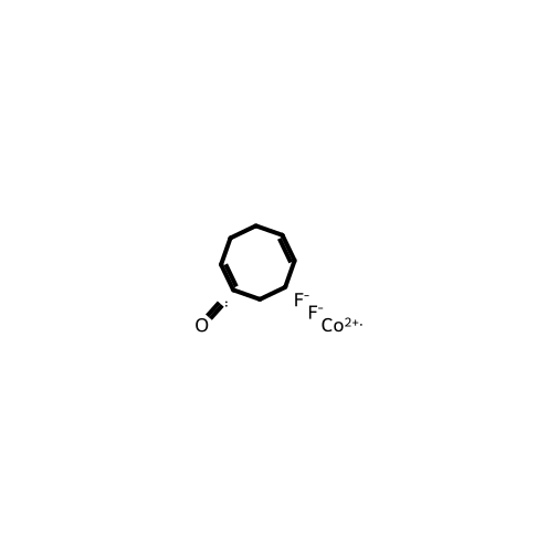 C1=C\CC/C=C\CC/1.[C]=O.[Co+2].[F-].[F-]